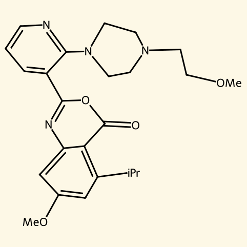 COCCN1CCN(c2ncccc2-c2nc3cc(OC)cc(C(C)C)c3c(=O)o2)CC1